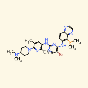 COc1nc(N2CCC(N(C)C)CC2)c(C)cc1Nc1ncc(Br)c(Nc2ccc3nccnc3c2P(C)C)n1